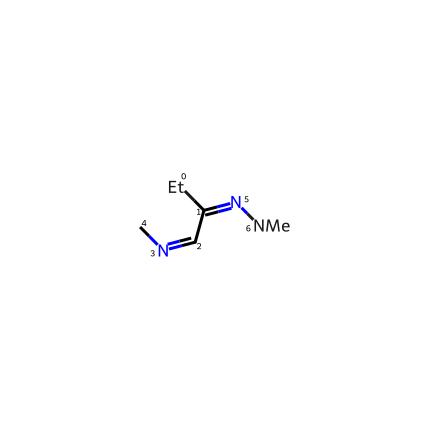 CCC(/C=N\C)=N/NC